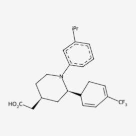 CC(C)c1cccc(N2CC[C@H](CC(=O)O)C[C@@H]2C2C=CC(C(F)(F)F)=CC2)c1